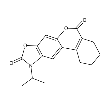 CC(C)n1c(=O)oc2cc3oc(=O)c4c(c3cc21)CCCC4